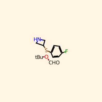 CC(C)(C)OC=O.Fc1ccc(SC2CNC2)cc1